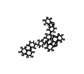 c1cc(-c2ccc(N(c3ccc(-c4ccc5oc6ccccc6c5c4)cc3)c3cccc4oc5c6ccccc6ccc5c34)cc2)cc(-c2cccc3ccccc23)c1